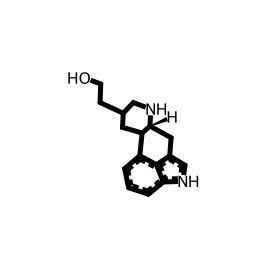 OCCC1CN[C@@H]2Cc3c[nH]c4cccc(c34)C2C1